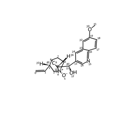 C=C[C@H]1C[N@@+]2([O-])CCC1C[C@@H]2[C@H](O)c1cnc2ccc(OC)cc2c1